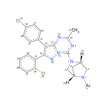 CC(=O)N1C[C@@H]2C[C@H]1CN2c1nc(C)nc2c(-c3ccc(Cl)cc3)c(-c3ccccc3Cl)nn12